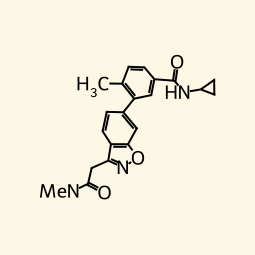 CNC(=O)Cc1noc2cc(-c3cc(C(=O)NC4CC4)ccc3C)ccc12